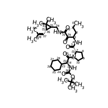 CCCC(NC(=O)[C@@H]1CCCN1C(=O)[C@@H](NC(=O)OC(C)(C)C)C1CCCCC1)C(=O)C(=O)NCC1[C@H](C=C(C)C)C1(C)C